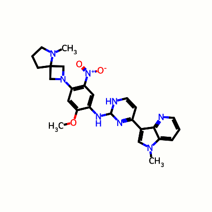 COc1cc(N2CC3(CCCN3C)C2)c([N+](=O)[O-])cc1NC1N=C(c2cn(C)c3cccnc23)C=CN1